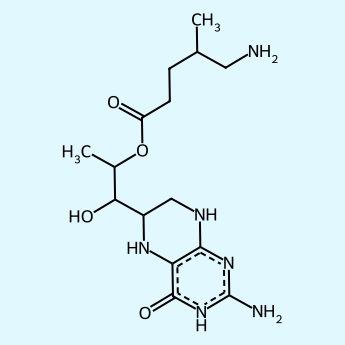 CC(CN)CCC(=O)OC(C)C(O)C1CNc2nc(N)[nH]c(=O)c2N1